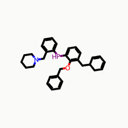 C1=CCC(Cc2cccc(Pc3ccccc3CN3CCCCC3)c2OCc2ccccc2)C=C1